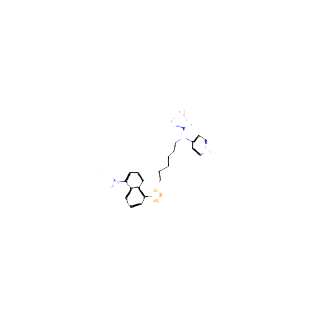 CN(C)c1cccc2c(S(=O)(=O)OCCCCCCN(C(=N)NC#N)c3ccncc3)cccc12